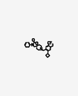 Cc1cc(C2CCC2)c(CN2CCC3(CC2)CN(c2ccccc2)C(=O)O3)cc1C(F)(F)F